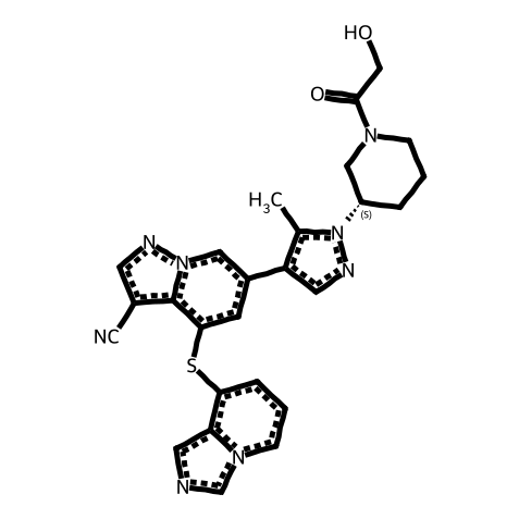 Cc1c(-c2cc(Sc3cccn4cncc34)c3c(C#N)cnn3c2)cnn1[C@H]1CCCN(C(=O)CO)C1